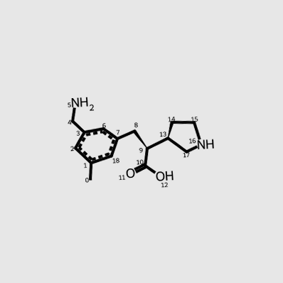 Cc1cc(CN)cc(C[C@H](C(=O)O)[C@H]2CCNC2)c1